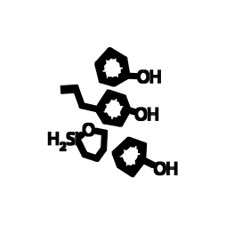 C1CC[SiH2]OC1.C=CCc1ccc(O)cc1.Oc1ccccc1.Oc1ccccc1